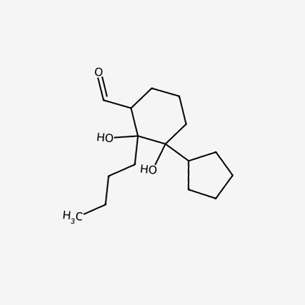 CCCCC1(O)C(C=O)CCCC1(O)C1CCCC1